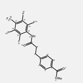 COC(=O)c1ccc(CCC(=O)Nc2c(F)c(F)c(C(F)(F)F)c(F)c2F)cc1